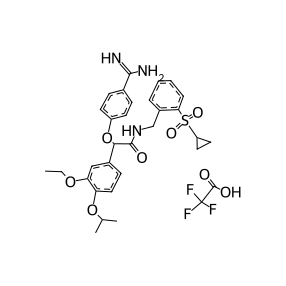 CCOc1cc(C(Oc2ccc(C(=N)N)cc2)C(=O)NCc2ccccc2S(=O)(=O)C2CC2)ccc1OC(C)C.O=C(O)C(F)(F)F